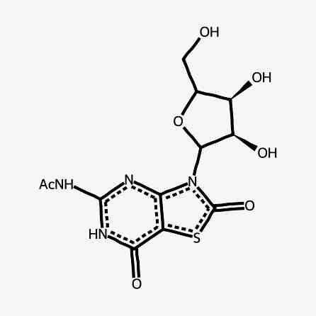 CC(=O)Nc1nc2c(sc(=O)n2C2OC(CO)[C@@H](O)[C@H]2O)c(=O)[nH]1